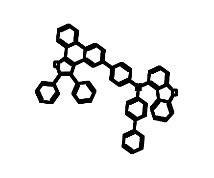 c1ccc(-c2ccc(N(c3ccc(-c4ccc5c6ccccc6c6oc(-c7ccccc7)c(-c7ccccc7)c6c5c4)cc3)c3cccc4oc5ccccc5c34)cc2)cc1